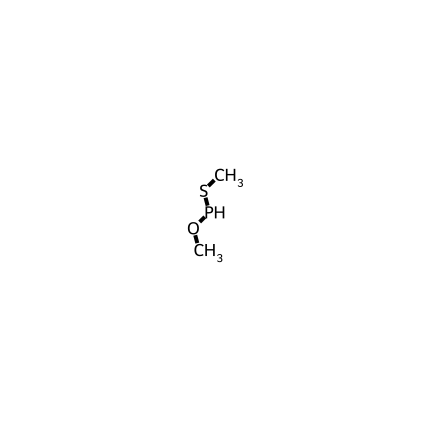 COPSC